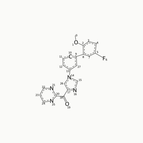 COc1ccc(F)cc1-c1cccc(-n2cnc(C(=O)c3ncccn3)c2)c1